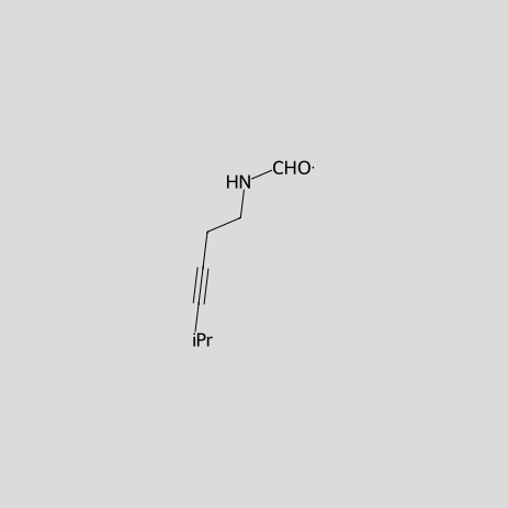 CC(C)C#CCCN[C]=O